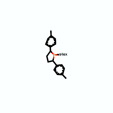 CCCCCCP1C(c2ccc(C)cc2)CCC1c1ccc(C)cc1